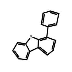 [c]1ccc2sc3c(-c4ccccc4)cccc3c2c1